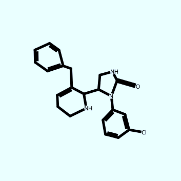 O=C1NCC(C2NCCC=C2Cc2ccccc2)N1c1cccc(Cl)c1